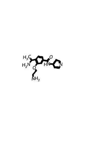 CC(N)c1ccc(C(=O)Nc2ccncc2)cc1OCCN